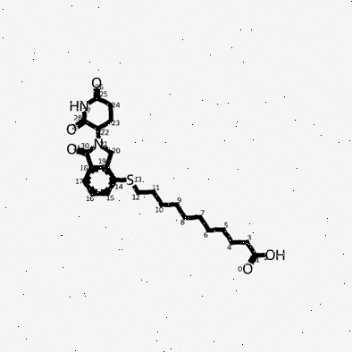 O=C(O)CCCCCCCCCCSc1cccc2c1CN(C1CCC(=O)NC1=O)C2=O